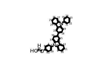 OBOc1ccc(-n2c3ccccc3c3cc(-c4ccc5c(c4)c4ccccc4n5-c4ccccc4)ccc32)cc1